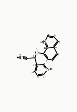 C#CC(Oc1cccc2cccnc12)c1cccnc1